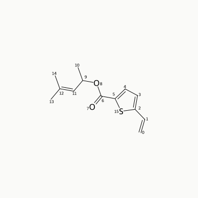 C=Cc1ccc(C(=O)OC(C)C=C(C)C)s1